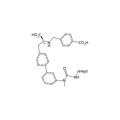 CCCCCCCNC(=O)N(C)c1cccc(-c2ccc(C[C@H](NCc3ccc(C(=O)O)cc3)C(=O)O)cc2)c1